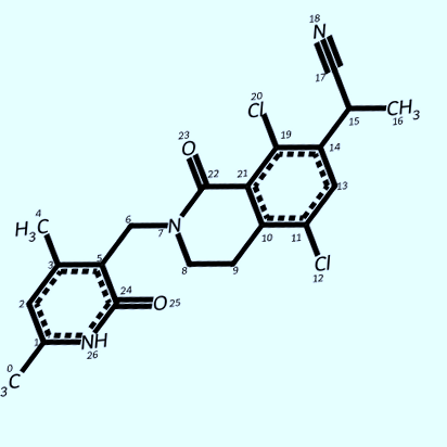 Cc1cc(C)c(CN2CCc3c(Cl)cc(C(C)C#N)c(Cl)c3C2=O)c(=O)[nH]1